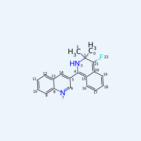 CC1(C)NC(c2cnc3ccccc3c2)=c2ccccc2=C1F